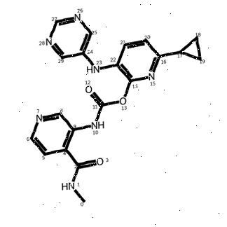 CNC(=O)c1ccncc1NC(=O)Oc1nc(C2CC2)ccc1Nc1cncnc1